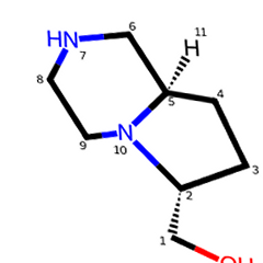 OC[C@H]1CC[C@@H]2CNCCN21